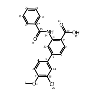 COc1ccc(-c2ccc(C(=O)O)c(NC(=O)c3ccccc3)c2)cc1Cl